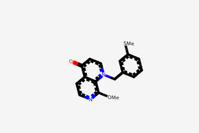 COc1nccc2c(=O)ccn(Cc3cccc(SC)c3)c12